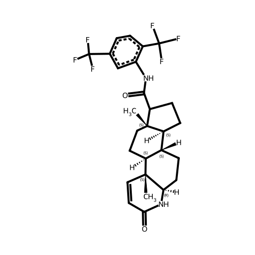 C[C@]12C=CC(=O)N[C@@H]1CC[C@@H]1[C@@H]2CC[C@]2(C)C(C(=O)Nc3cc(C(F)(F)F)ccc3C(F)(F)F)CC[C@@H]12